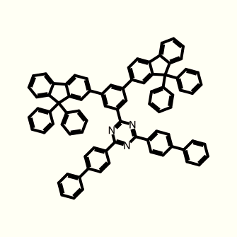 c1ccc(-c2ccc(-c3nc(-c4ccc(-c5ccccc5)cc4)nc(-c4cc(-c5ccc6c(c5)C(c5ccccc5)(c5ccccc5)c5ccccc5-6)cc(-c5ccc6c(c5)C(c5ccccc5)(c5ccccc5)c5ccccc5-6)c4)n3)cc2)cc1